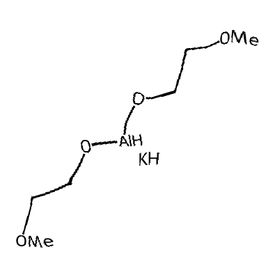 COCC[O][AlH][O]CCOC.[KH]